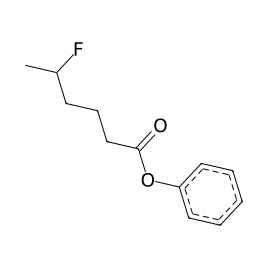 CC(F)CCCC(=O)Oc1ccccc1